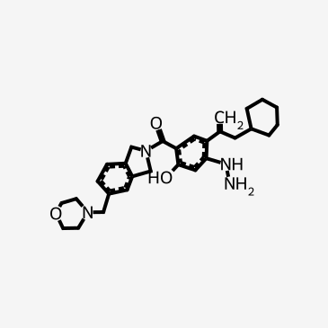 C=C(CC1CCCCC1)c1cc(C(=O)N2Cc3ccc(CN4CCOCC4)cc3C2)c(O)cc1NN